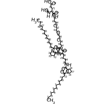 CCCCCCCCCCCCCC(=O)N1CCCC1C(=O)NCCCCC(NC(=O)C1CCCN1C(=O)CCCCCCCCCCCCC)C(=O)NCCCOCCOCCOCCCNC(=O)C(CCC(=O)O)NO